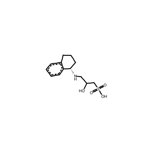 O=S(=O)(O)CC(O)CN[C@H]1CCCc2ccccc21